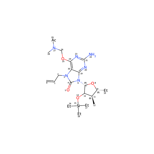 C=CCn1c(=O)n([C@@H]2O[C@H](CC)[C@@H](C)C2O[Si](CC)(CC)CC)c2nc(N)nc(OCN(C)C(C)=O)c21